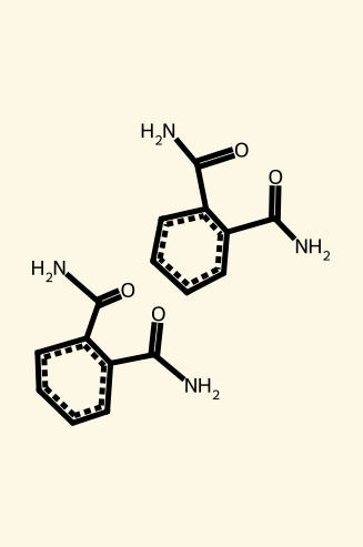 NC(=O)c1ccccc1C(N)=O.NC(=O)c1ccccc1C(N)=O